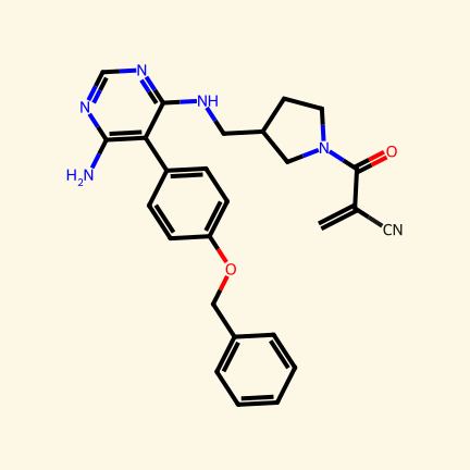 C=C(C#N)C(=O)N1CCC(CNc2ncnc(N)c2-c2ccc(OCc3ccccc3)cc2)C1